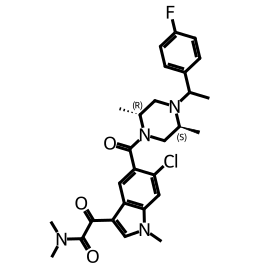 CC(c1ccc(F)cc1)N1C[C@@H](C)N(C(=O)c2cc3c(C(=O)C(=O)N(C)C)cn(C)c3cc2Cl)C[C@@H]1C